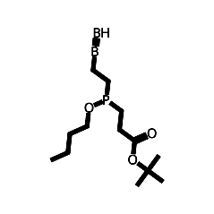 B=BCCP(CCC(=O)OC(C)(C)C)OCCCC